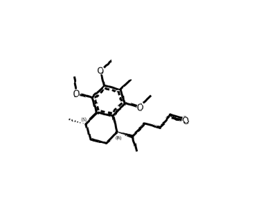 COc1c(C)c(OC)c2c(c1OC)[C@@H](C)CC[C@@H]2C(C)CCC=O